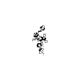 C=CC(=O)N1CCC[C@@H](Nc2nc(Nc3cnn(CCN4CCOCC4)c3)nc3[nH]cc(Cl)c23)C1